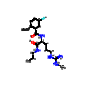 COc1ccc(F)cc1C(=O)N[C@@H](CCCNC(=N)N[N+](=O)[O-])C(=O)N[CH]CC(C)C